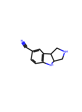 N#Cc1ccc2c(c1)C1CNCC1N2